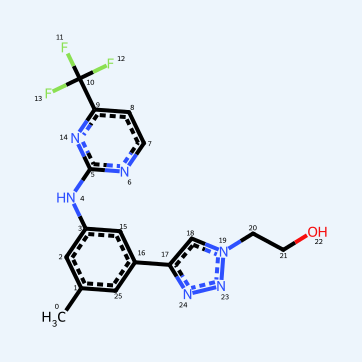 Cc1cc(Nc2nccc(C(F)(F)F)n2)cc(-c2cn(CCO)nn2)c1